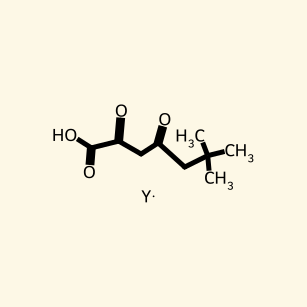 CC(C)(C)CC(=O)CC(=O)C(=O)O.[Y]